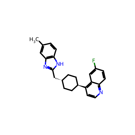 Cc1ccc2[nH]c(C[C@H]3CC[C@H](c4ccnc5ccc(F)cc54)CC3)nc2c1